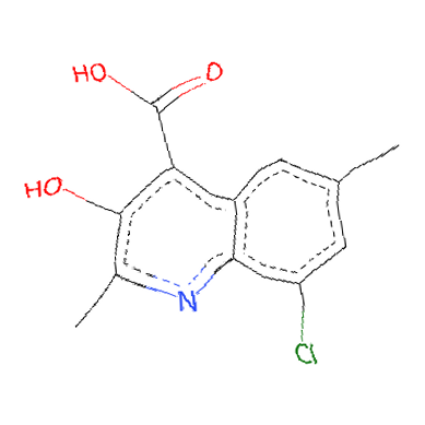 Cc1cc(Cl)c2nc(C)c(O)c(C(=O)O)c2c1